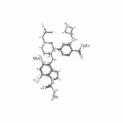 COC(=O)c1ccc([C@@H]2CN(CC(F)F)CCN2Cc2c(OC)cc(C)c3c2ccn3C(=O)OC(C)(C)C)cc1OC1COC1